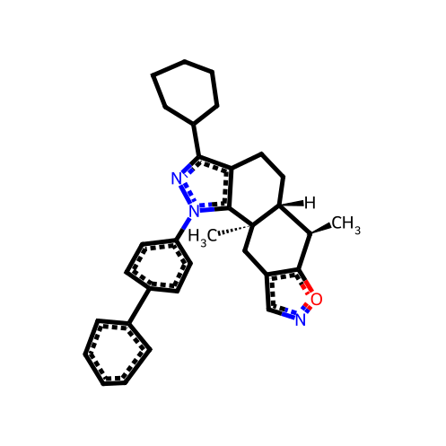 C[C@H]1c2oncc2C[C@@]2(C)c3c(c(C4CCCCC4)nn3-c3ccc(-c4ccccc4)cc3)CC[C@H]12